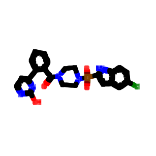 O=C(c1ccccc1-c1ccnc(O)n1)N1CCN(S(=O)(=O)c2cc3cc(Cl)ccc3[nH]2)CC1